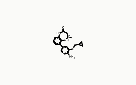 C[C@@H]1CC(=O)Nc2cccc(-c3cnc(N)c(OCC4CC4)c3)c2N1